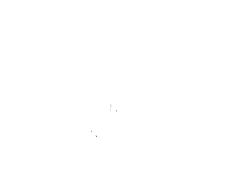 C=CCC(CC)n1ccnc1.I